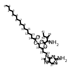 CCCCCCCCCCCCCCCC(=O)OCCC(CCn1cnc2cnc(N)nc21)OC(=O)[C@@H](N)C(C)CC